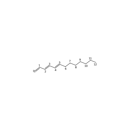 [CH]=CC=CC=CCCCCCCC